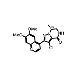 COc1cc2nccc(-c3nn4c(c3Cl)C(=O)NC[C@@H]4C)c2cc1OC